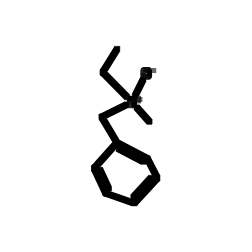 CC[N+](C)([O-])Cc1ccccc1